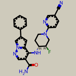 N#Cc1ccc(N2CC[C@@H](Nc3c(C(N)=O)cnn4cc(-c5ccccc5)cc34)[C@H](F)C2)nc1